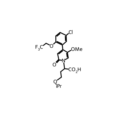 COc1cn(C(CCOC(C)C)C(=O)O)c(=O)cc1-c1cc(Cl)ccc1OCC(F)(F)F